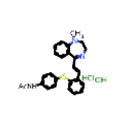 CC(=O)Nc1ccc(Sc2ccccc2C=CC2=NCCN(C)c3ccccc32)cc1.Cl.Cl